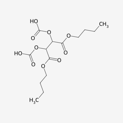 CCCCOC(=O)C(OC(=O)O)C(OC(=O)O)C(=O)OCCCC